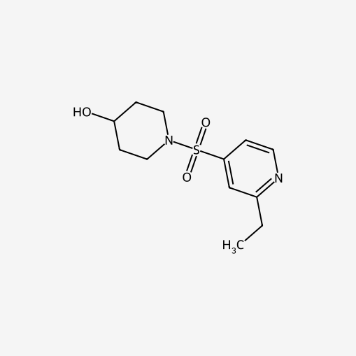 CCc1cc(S(=O)(=O)N2CCC(O)CC2)ccn1